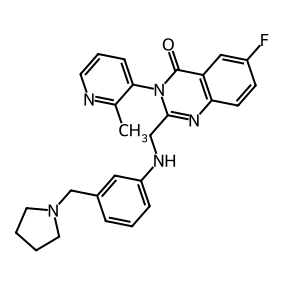 Cc1ncccc1-n1c(CNc2cccc(CN3CCCC3)c2)nc2ccc(F)cc2c1=O